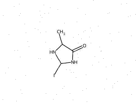 CC1NC(I)NC1=O